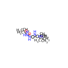 CNC(=C(C)C)/C(C)=C1/C=c2c([nH]c3cc(NC(=O)Nc4cc(C(C)(C)C)on4)ccc23)=CC1C(C)C